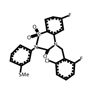 CSc1cccc(N2C(=O)N(Cc3c(F)cccc3Cl)c3cc(F)ccc3S2(=O)=O)c1